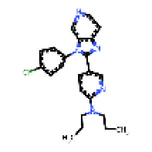 CCCN(CCC)c1ccc(-c2nc3ccncc3n2-c2ccc(Cl)cc2)cn1